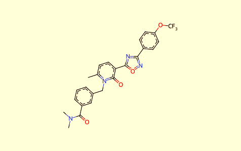 Cc1ccc(-c2nc(-c3ccc(OC(F)(F)F)cc3)no2)c(=O)n1Cc1cccc(C(=O)N(C)C)c1